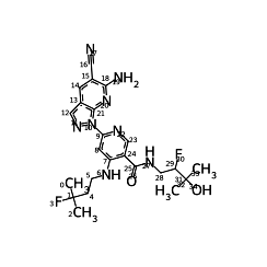 CC(C)(F)CCNc1cc(-n2ncc3cc(C#N)c(N)nc32)ncc1C(=O)NCC(F)C(C)(C)O